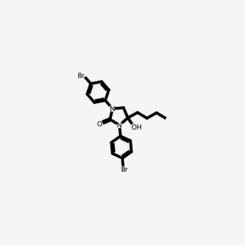 CCCCC1(O)CN(c2ccc(Br)cc2)C(=O)N1c1ccc(Br)cc1